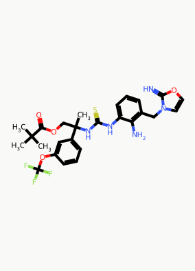 CC(C)(C)C(=O)OCC(C)(NC(=S)Nc1cccc(Cn2ccoc2=N)c1N)c1cccc(OC(F)(F)F)c1